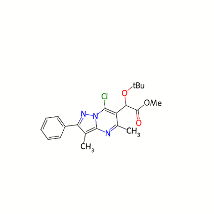 COC(=O)C(OC(C)(C)C)c1c(C)nc2c(C)c(-c3ccccc3)nn2c1Cl